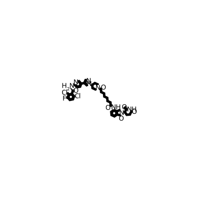 C[C@@H](Oc1cc(-c2cnn(C3CCN(C(=O)CCCCCCC(=O)Nc4cccc5c4CN(C4CCC(=O)NC4=O)C5=O)CC3)c2)cnc1N)c1c(Cl)ccc(F)c1Cl